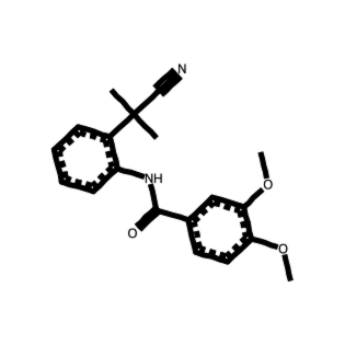 COc1ccc(C(=O)Nc2ccccc2C(C)(C)C#N)cc1OC